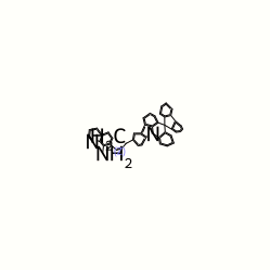 C=C(/C=C\c1ccc2cccnc2c1N)c1ccc2c(c1)c1cccc3c1n2-c1ccccc1C31c2ccccc2-c2ccccc21